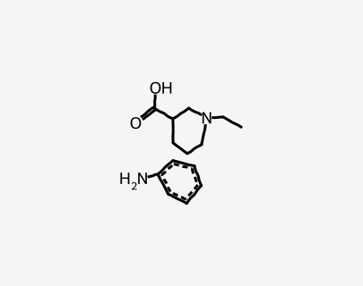 CCN1CCCC(C(=O)O)C1.Nc1ccccc1